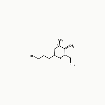 C=C1C(CC)OC(CCCO)C[C@H]1C